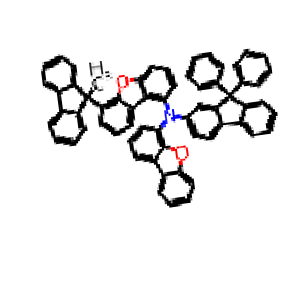 CC1(c2cccc3c2oc2cccc(N(c4ccc5c(c4)C(c4ccccc4)(c4ccccc4)c4ccccc4-5)c4cccc5c4oc4ccccc45)c23)c2ccccc2-c2ccccc21